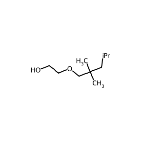 CC(C)CC(C)(C)COCCO